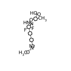 COCCn1ccc(-c2ccc(-c3ccc(-c4c(F)cc5[nH]c(Oc6ccc(C)c(C(=O)O)c6)nc5c4F)cc3)cc2)n1